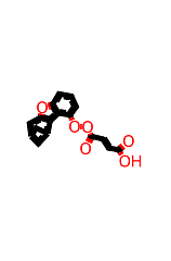 O=C(O)C=CC(=O)OOc1cccc2oc3cc4cc(c3c12)C4